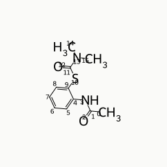 CC(=O)Nc1ccccc1SC(=O)N(C)C